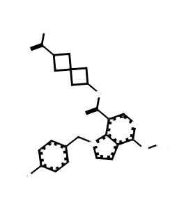 COc1ncc(C(=O)NC2CC3(C2)CC(C(=O)O)C3)c2c1ccn2Cc1ccc(Br)cc1